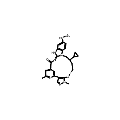 Cc1cc2cc(n1)-c1cnn(C)c1OCCCC(C1CC1)CN1/C(=N/C2=O)Nc2cc(NC(C)(C)C)ccc21